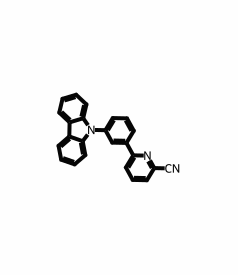 N#Cc1cccc(-c2cccc(-n3c4ccccc4c4ccccc43)c2)n1